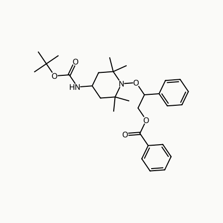 CC(C)(C)OC(=O)NC1CC(C)(C)N(OC(COC(=O)c2ccccc2)c2ccccc2)C(C)(C)C1